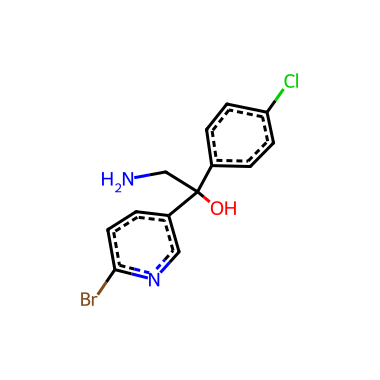 NCC(O)(c1ccc(Cl)cc1)c1ccc(Br)nc1